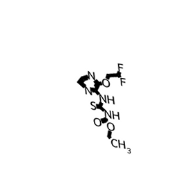 CCOC(=O)NC(=S)Nc1nccnc1OCC(F)F